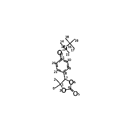 CC1(C)OC(=O)OC1c1ccc(O[Si](C)(C)C(C)(C)C)cc1